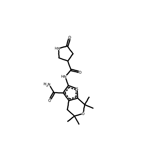 CC1(C)Cc2c(sc(NC(=O)C3CNC(=O)C3)c2C(N)=O)C(C)(C)O1